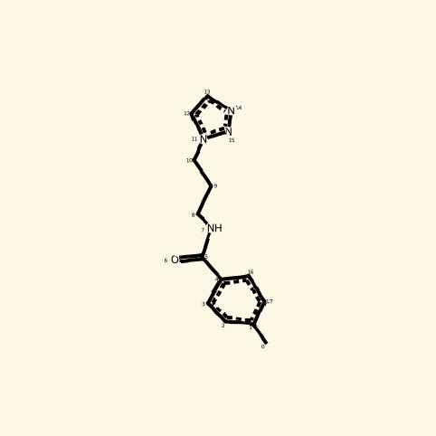 Cc1ccc(C(=O)NCCCn2ccnn2)cc1